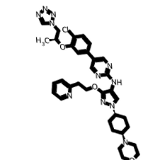 C[C@@H](Cn1cnnn1)Oc1cc(-c2cnc(Nc3cn([C@H]4CC[C@H](N5CCOCC5)CC4)nc3OCCc3ccccn3)nc2)ccc1Cl